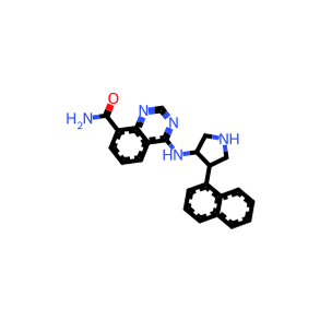 NC(=O)c1cccc2c(NC3CNCC3c3cccc4ccccc34)ncnc12